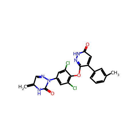 C=C1C=NN(c2cc(Cl)c(Oc3n[nH]c(=O)cc3-c3cccc(C)c3)c(Cl)c2)C(=O)N1